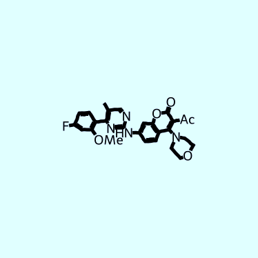 COc1cc(F)ccc1-c1nc(Nc2ccc3c(N4CCOCC4)c(C(C)=O)c(=O)oc3c2)ncc1C